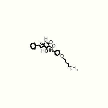 CCCCCCOc1ccc(NC(=O)c2c(O)c3cc(-c4ccccc4)sc3[nH]c2=O)cc1